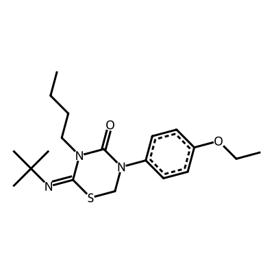 CCCCN1C(=O)N(c2ccc(OCC)cc2)CSC1=NC(C)(C)C